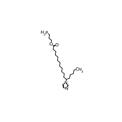 CCCCCC(CCCCCCCCCCCC(=O)OCCCP)n1ccnc1